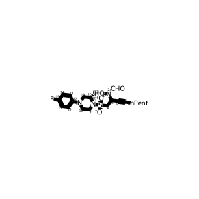 CCCCCC#CC(CS(=O)(=O)N1CCN(c2ccc(F)cc2)C[C@H]1C)N(O)C=O